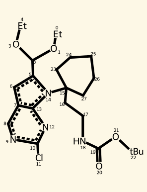 CCOC(OCC)c1cc2cnc(Cl)nc2n1C1(CCNC(=O)OC(C)(C)C)CCCCC1